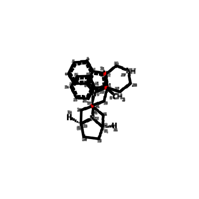 Cc1nc2ccccc2n1[C@H]1C[C@H]2CC[C@@H](C1)N2CCC1(c2ccccc2)CCNCC1